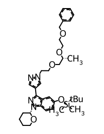 C[C@H](COCCn1cc(-c2nn([C@H]3CCCCO3)c3ccc(O[Si](C)(C)C(C)(C)C)cc23)cn1)OCCOCc1ccccc1